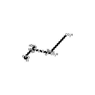 CCCCCCCCCCCCC(NC(=O)CCCCCN1C(=O)CC(CC)C1=O)C(=O)NCCOCCOCCC(=O)NCC(NC(=O)CCCCCCCCCCCCCCCCC(=O)O)C(=O)O